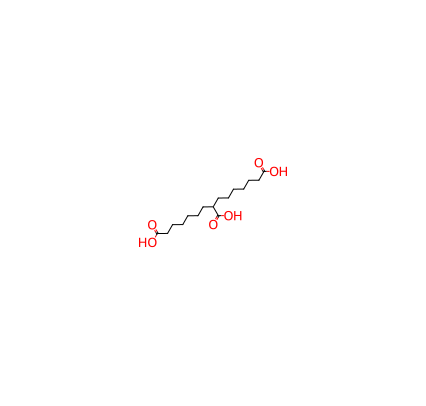 O=C(O)CCCCCCC(CCCCCCC(=O)O)C(=O)O